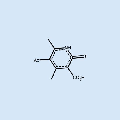 CC(=O)c1c(C)[nH]c(=O)c(C(=O)O)c1C